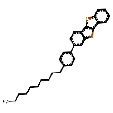 CCCCCCCCCCc1ccc(-c2ccc3c(c2)sc2c4ccccc4sc32)cc1